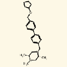 C[C@@H]1CN(C)[C@@H](C)CN1Cc1ccc(-c2ccc(COC3CCCC3)cc2)cc1